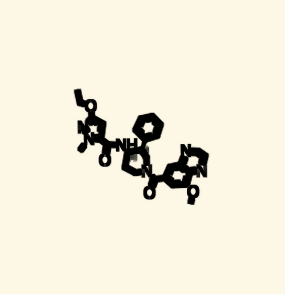 CCOc1cc(C(=O)N[C@@H]2CCN(C(=O)c3cc(OC)c4nccnc4c3)C[C@@H]2c2ccccc2)n(C)n1